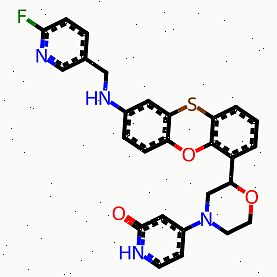 O=c1cc(N2CCOC(c3cccc4c3Oc3ccc(NCc5ccc(F)nc5)cc3S4)C2)cc[nH]1